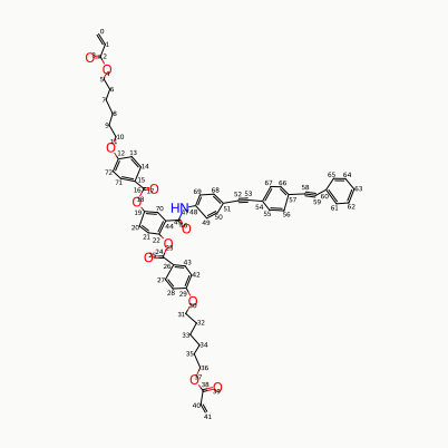 C=CC(=O)OCCCCCCOc1ccc(C(=O)Oc2ccc(OC(=O)c3ccc(OCCCCCCOC(=O)C=C)cc3)c(C(=O)Nc3ccc(C#Cc4ccc(C#Cc5ccccc5)cc4)cc3)c2)cc1